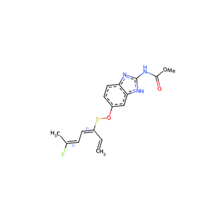 C=C/C(=C\C=C(/C)F)SOc1ccc2nc(NC(=O)OC)[nH]c2c1